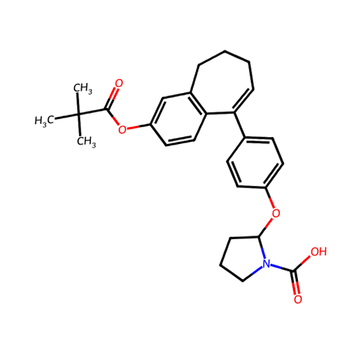 CC(C)(C)C(=O)Oc1ccc2c(c1)CCCC=C2c1ccc(OC2CCCN2C(=O)O)cc1